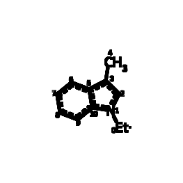 C[CH]n1cc(C)c2ccccc21